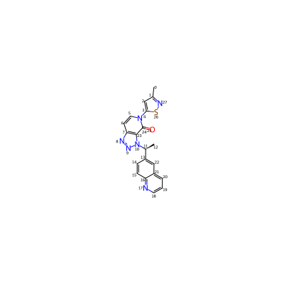 Cc1cc(-n2ccc3nnn([C@@H](C)c4ccc5ncccc5c4)c3c2=O)sn1